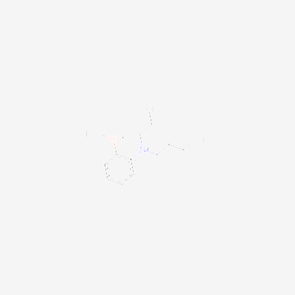 CCCCN(CCC)c1ccccc1OC